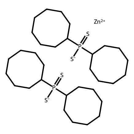 S=P([S-])(C1CCCCCCC1)C1CCCCCCC1.S=P([S-])(C1CCCCCCC1)C1CCCCCCC1.[Zn+2]